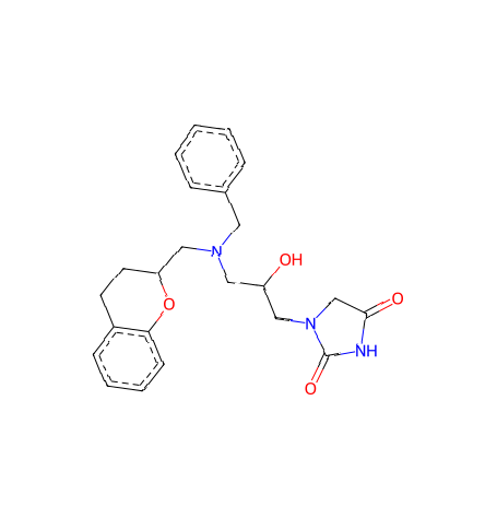 O=C1CN(CC(O)CN(Cc2ccccc2)CC2CCc3ccccc3O2)C(=O)N1